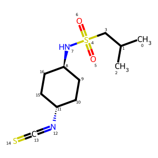 CC(C)CS(=O)(=O)N[C@H]1CC[C@H](N=C=S)CC1